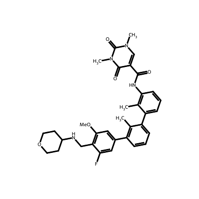 COc1cc(-c2cccc(-c3cccc(NC(=O)c4cn(C)c(=O)n(C)c4=O)c3C)c2C)cc(F)c1CNC1CCOCC1